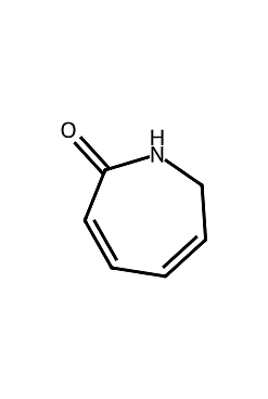 O=C1C=CC=CCN1